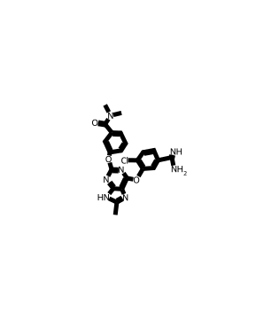 Cc1nc2c(Oc3cc(C(=N)N)ccc3Cl)nc(Oc3cccc(C(=O)N(C)C)c3)nc2[nH]1